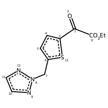 CCOC(=O)C(=O)c1ccc(Cn2nccn2)s1